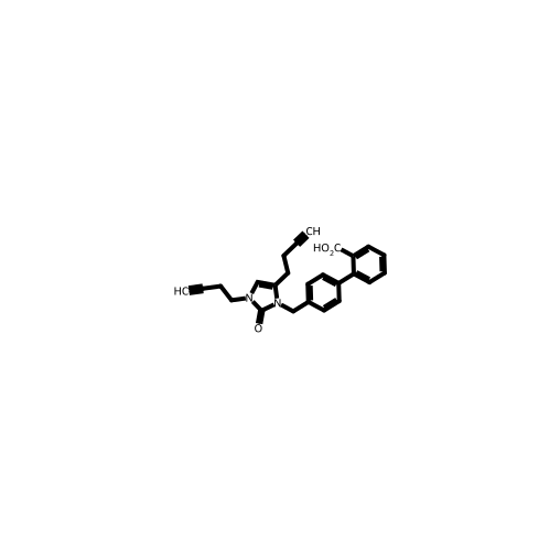 C#CCCc1cn(CCC#C)c(=O)n1Cc1ccc(-c2ccccc2C(=O)O)cc1